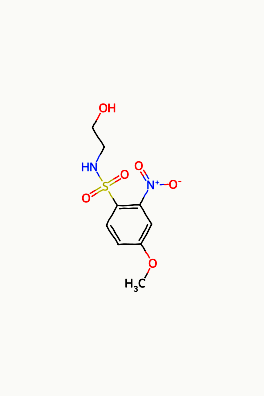 COc1ccc(S(=O)(=O)NCCO)c([N+](=O)[O-])c1